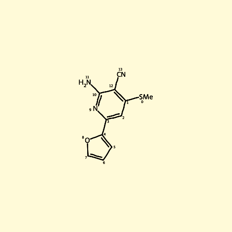 CSc1cc(-c2ccco2)nc(N)c1C#N